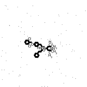 CC1(C)CC(NC[C@H](Cc2ccc(OCc3c(Cl)cccc3Cl)cc2)NC(=O)/C=C/c2ccccc2)CC(C)(C)N1